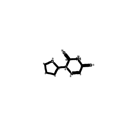 O=c1cnn(C2CCCO2)c(=O)[nH]1